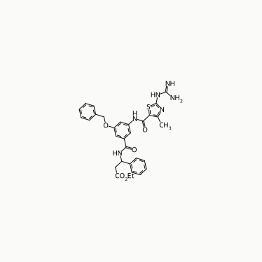 CCOC(=O)CC(NC(=O)c1cc(NC(=O)c2sc(NC(=N)N)nc2C)cc(OCc2ccccc2)c1)c1ccccc1